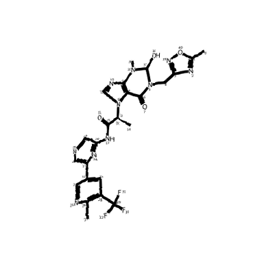 Cc1nc(CN2C(=O)c3c(ncn3[C@@H](C)C(=O)Nc3cncc(-c4cnc(C)c(C(F)(F)F)c4)n3)N(C)C2O)no1